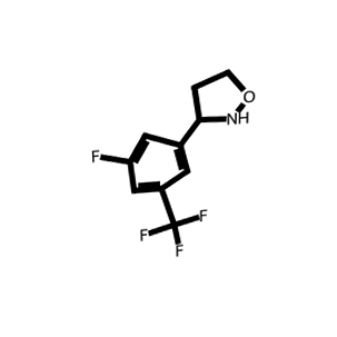 Fc1cc(C2CCON2)cc(C(F)(F)F)c1